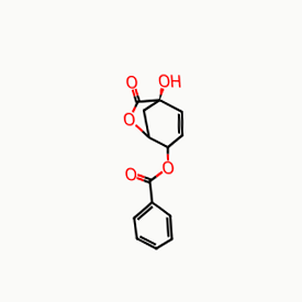 O=C(OC1C=C[C@]2(O)CC1OC2=O)c1ccccc1